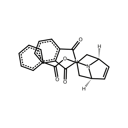 O=C(OC1C[C@H]2C=C[C@@H](C1)N2N1C(=O)c2ccccc2C1=O)c1ccccc1